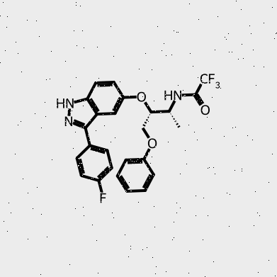 C[C@@H](NC(=O)C(F)(F)F)[C@H](COc1ccccc1)Oc1ccc2[nH]nc(-c3ccc(F)cc3)c2c1